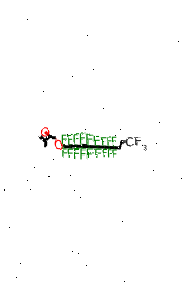 CC1COC1COC(F)(F)C(F)(F)C(F)(F)C(F)(F)C(F)(F)C(F)(F)C(F)(F)C(F)(F)C(F)(F)CCC(F)(F)F